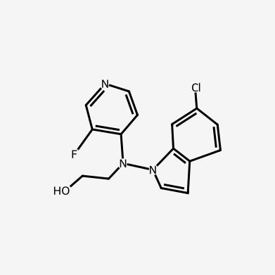 OCCN(c1ccncc1F)n1ccc2ccc(Cl)cc21